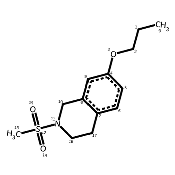 CCCOc1ccc2c(c1)CN(S(C)(=O)=O)CC2